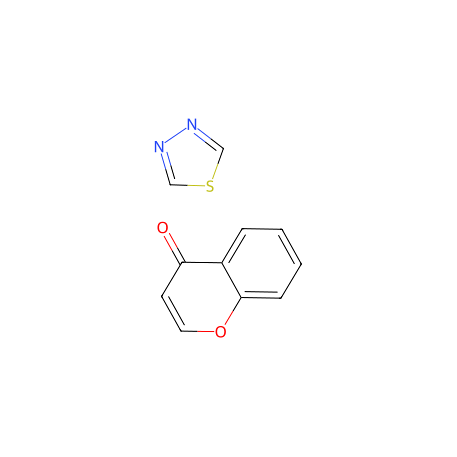 O=c1ccoc2ccccc12.c1nncs1